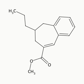 CCCC1CC(C(=O)OC)=Cc2ccccc2C1